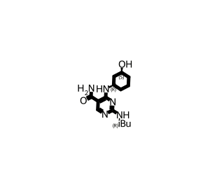 CC[C@@H](C)Nc1ncc(C(N)=O)c(N[C@@H]2CCC[C@H](O)C2)n1